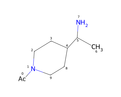 CC(=O)N1CCC(C(C)N)CC1